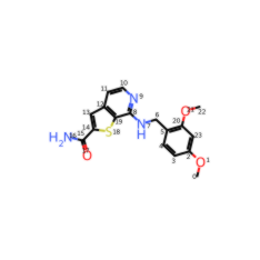 COc1ccc(CNc2nccc3cc(C(N)=O)sc23)c(OC)c1